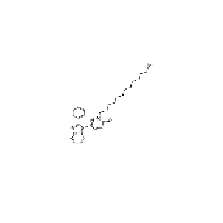 O=c1ccc(-c2c(-c3ccccc3)nn3ccccc23)nn1CCCCCCCCCCCCBr